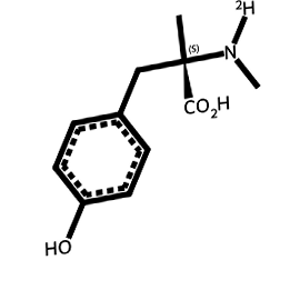 [2H]N(C)[C@@](C)(Cc1ccc(O)cc1)C(=O)O